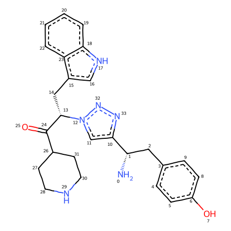 N[C@@H](Cc1ccc(O)cc1)c1cn([C@@H](Cc2c[nH]c3ccccc23)C(=O)C2CCNCC2)nn1